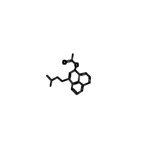 CC(=O)OC1C=C(CCC(C)C)c2cccc3cccc1c23